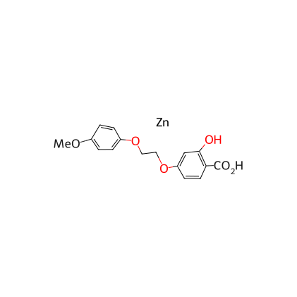 COc1ccc(OCCOc2ccc(C(=O)O)c(O)c2)cc1.[Zn]